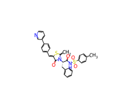 C=c1s/c(=C\c2ccc(-c3cccnc3)cc2)c(=O)n1[C@@H](Cc1ccccc1)C(=O)NS(=O)(=O)c1ccc(C)cc1